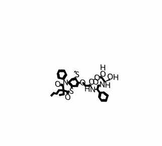 CCCCC1(CC)C(=O)Sc2cc(OCC(=O)N[C@@H](C(=O)N[C@H](CO)C(=O)O)c3ccccc3)c(SC)cc2N(c2ccccc2)C1=O